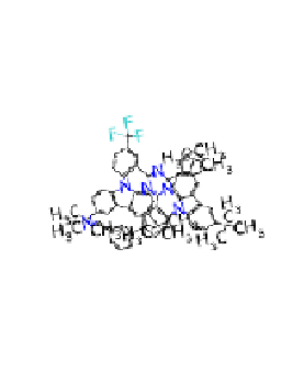 CC(C)(C)c1ccc2c(c1)c1cc(C(C)(C)C)ccc1n2-c1ccc(-c2cccc(C#N)c2)cc1-c1nc(-c2ccccc2)nc(-c2cc(C(F)(F)F)ccc2-n2c3ccc(C(C)(C)C)cc3c3cc(C(C)(C)C)ccc32)n1